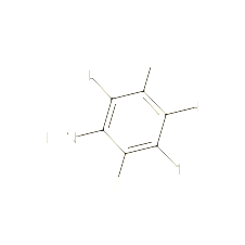 Nc1c(I)c(I)c(I)c(I)c1I